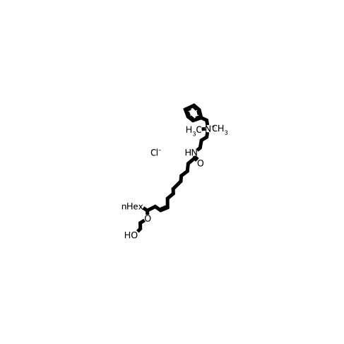 CCCCCCC(C/C=C\CCCCCCCC(=O)NCCC[N+](C)(C)Cc1ccccc1)OCCO.[Cl-]